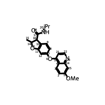 COc1ccc2c(Oc3ccc4c(c3)OC(C)C4C(=O)NC(C)C)ccnc2c1